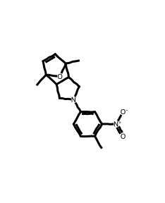 Cc1ccc(N2CC3C(C2)C2(C)C=CC3(C)O2)cc1[N+](=O)[O-]